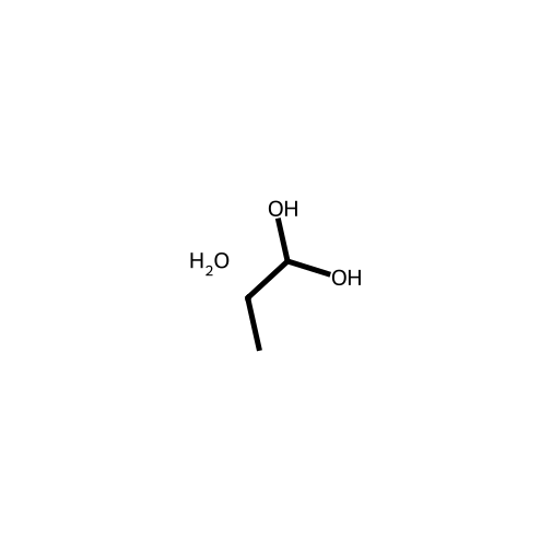 CCC(O)O.O